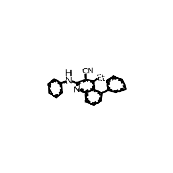 CCc1c(C#N)c(Nc2ccccc2)nc2cccc(-c3ccccc3)c12